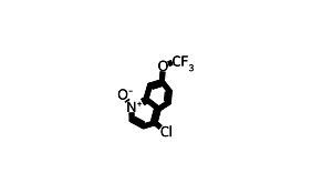 [O-][n+]1ccc(Cl)c2ccc(OC(F)(F)F)cc21